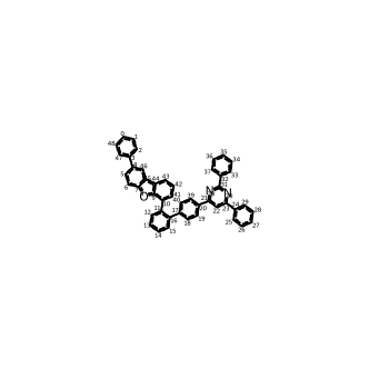 c1ccc(-c2ccc3oc4c(-c5ccccc5-c5ccc(-c6cc(-c7ccccc7)nc(-c7ccccc7)n6)cc5)cccc4c3c2)cc1